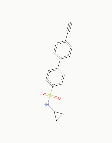 C#Cc1ccc(-c2ccc(S(=O)(=O)NC3CC3)cc2)cc1